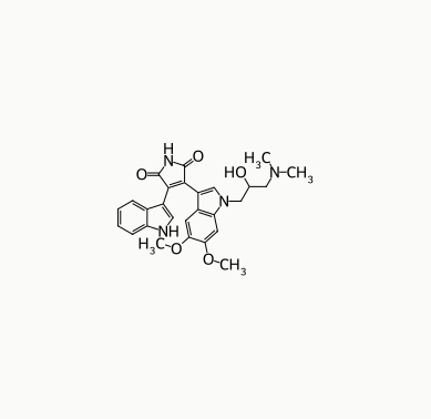 COc1cc2c(C3=C(c4c[nH]c5ccccc45)C(=O)NC3=O)cn(CC(O)CN(C)C)c2cc1OC